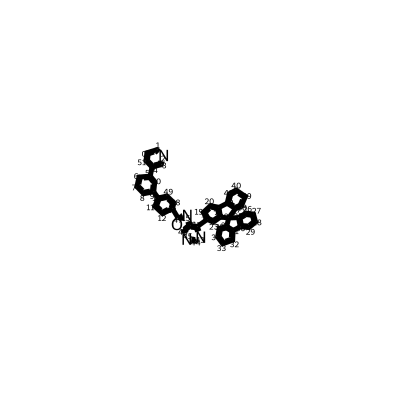 c1cncc(-c2cccc(-c3ccc(-c4nc5c(-c6ccc7c(c6)C6(c8ccccc8-c8ccccc86)c6ccccc6-7)ncnc5o4)cc3)c2)c1